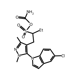 CCC(Cc1c(C)nn(C)c1-n1ccc2cc(Cl)ccc21)S(=O)(=O)OC(N)=O